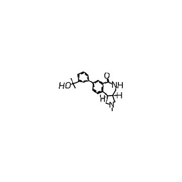 CN1C[C@H]2CNC(=O)c3cc(-c4cccc(C(C)(C)O)c4)ccc3[C@@H]2C1